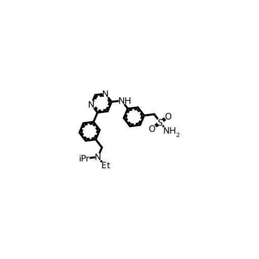 CCN(Cc1cccc(-c2cc(Nc3cccc(CS(N)(=O)=O)c3)ncn2)c1)C(C)C